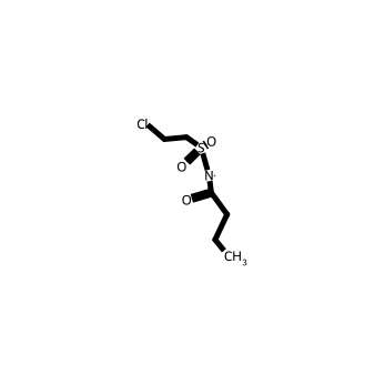 CCCC(=O)[N]S(=O)(=O)CCCl